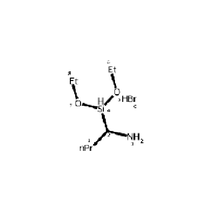 Br.CCCC(N)[SiH](OCC)OCC